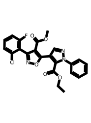 CCOC(=O)c1c(-c2onc(-c3c(F)cccc3Cl)c2C(=O)OC)cnn1-c1ccccc1